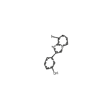 Oc1cccc(-c2cn3cccc(I)c3n2)c1